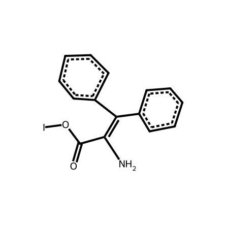 NC(C(=O)OI)=C(c1ccccc1)c1ccccc1